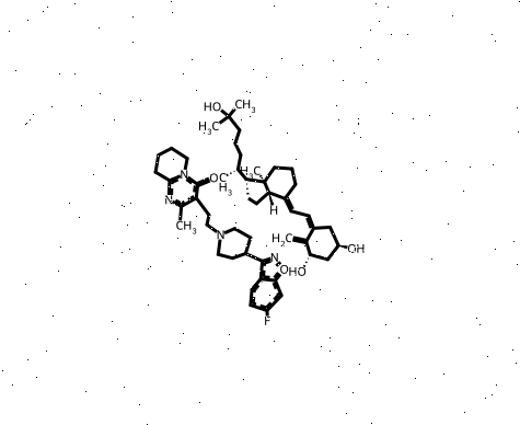 C=C1/C(=C\C=C2/CCC[C@]3(C)[C@@H]([C@H](C)CCCC(C)(C)O)CC[C@@H]23)C[C@@H](O)C[C@@H]1O.Cc1nc2n(c(=O)c1CCN1CCC(c3noc4cc(F)ccc34)CC1)CCCC2